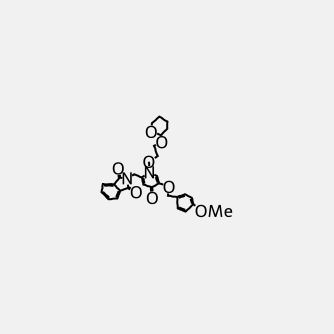 COc1ccc(COc2cn(OCCOC3CCCCO3)c(CN3C(=O)c4ccccc4C3=O)cc2=O)cc1